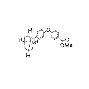 COC(=O)c1ccc(Oc2ccc(C3[C@H]4C[C@@H]5C[C@@H](C[C@H]3C5)C4)cc2)cc1